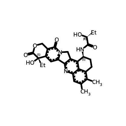 CC[C@@H](O)C(=O)N[C@H]1CCc2c(C)c(C)cc3nc4c(c1c23)Cn1c-4cc2c(c1=O)COC(=O)[C@]2(O)CC